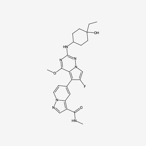 CCC1(O)CCC(Nc2nc(OC)c3c(-c4ccn5ncc(C(=O)NC)c5c4)c(F)cn3n2)CC1